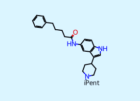 CCCC(C)N1CCC(c2c[nH]c3ccc(NC(=O)CCCCc4ccccc4)cc23)CC1